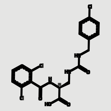 O=C(NCc1ccc(Cl)cc1)NC[C@H](NC(=O)c1c(Cl)cccc1Cl)C(=O)O